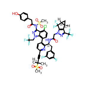 CC(C)(C#Cc1ccc(-c2ccc(Cl)c3c(N(C(=O)Cc4ccc(O)cc4)S(C)(=O)=O)nn(CC(F)(F)F)c23)c([C@H](Cc2cc(F)cc(F)c2)NC(=O)Cn2nc(C(F)(F)F)c3c2C(F)(F)[C@@H]2C[C@H]32)n1)S(C)(=O)=O